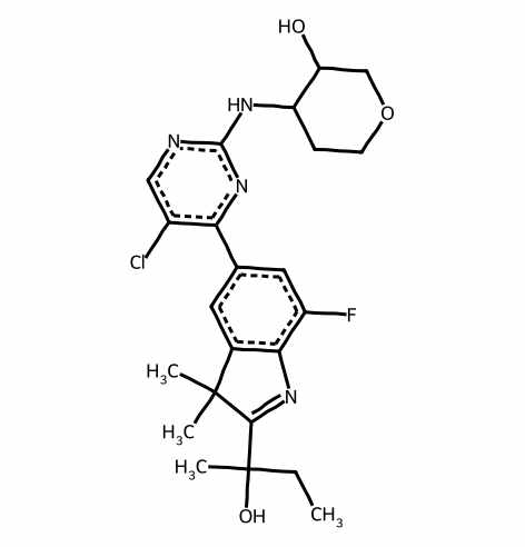 CCC(C)(O)C1=Nc2c(F)cc(-c3nc(NC4CCOCC4O)ncc3Cl)cc2C1(C)C